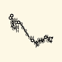 CNC(C)C(=O)NC(C(=O)N1Cc2cc(OCCOCCOCCOCCNCc3ccc(-n4cc(NC(=O)c5coc(-c6ccnc(N(CC7CC7)C(=O)OC(C)(C)C)c6)n5)c(C(F)F)n4)cc3)ccc2C[C@H]1C(=O)N[C@@H]1CCCc2ccccc21)C(C)(C)C